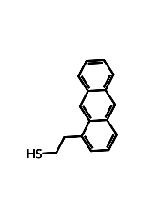 SCCc1cccc2cc3ccccc3cc12